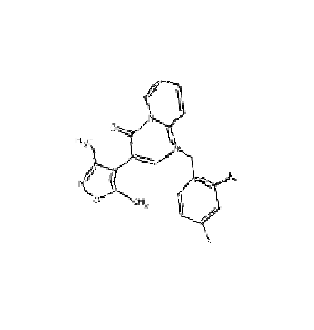 Cc1noc(C)c1-c1c[n+](Cc2ccc(F)cc2Cl)c2ccccn2c1=O